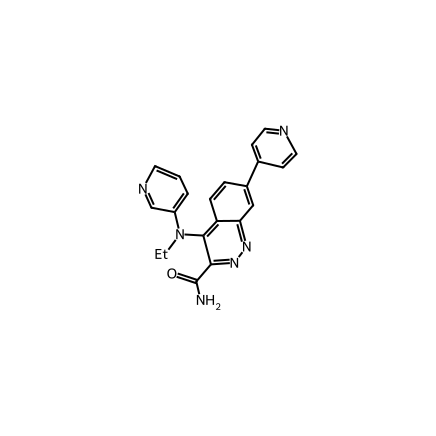 CCN(c1cccnc1)c1c(C(N)=O)nnc2cc(-c3ccncc3)ccc12